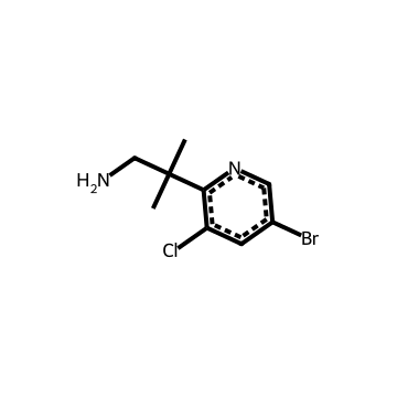 CC(C)(CN)c1ncc(Br)cc1Cl